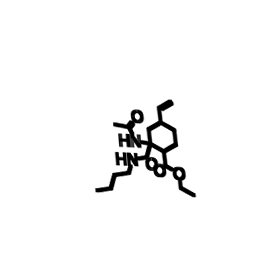 C=CC1CCC(C(=O)OCC)C(NC(C)=O)(C(=O)NCCCC)C1